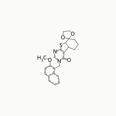 COc1ccc2ccccc2c1Cn1cnc2c(c1=O)C1CCCC3(OCCO3)C1S2